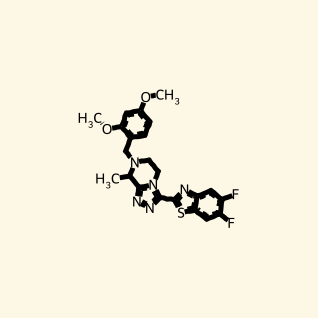 COc1ccc(CN2CCn3c(-c4nc5cc(F)c(F)cc5s4)nnc3C2C)c(OC)c1